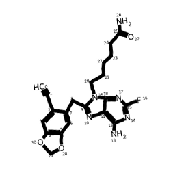 C#Cc1cc2c(cc1Cc1nc3c(N)nc(F)nc3n1CCCCCC(N)=O)OCO2